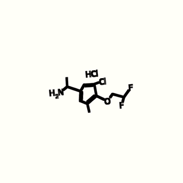 Cc1cc(C(C)N)cc(Cl)c1OCC(F)F.Cl